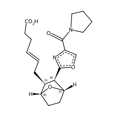 O=C(O)CCC=CC[C@H]1[C@@H](c2nc(C(=O)N3CCCC3)co2)[C@@H]2CC[C@H]1O2